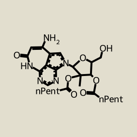 CCCCCC(=O)OC1C(CO)OC(n2cc3c4c(ncnc42)NC(=O)C=C3N)C1(C)OC(=O)CCCCC